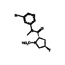 CN(C(=O)[C@@H]1C[C@@H](F)CN1C(=O)O)c1cncc(Br)c1